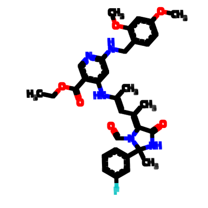 CCOC(=O)c1cnc(NCc2ccc(OC)cc2OC)cc1N/C(C)=C/C(C)=C1/C(=O)NC(C)(c2cccc(F)c2)N1C=O